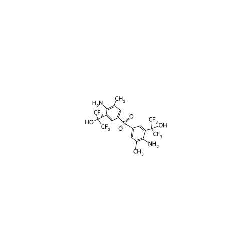 Cc1cc(S(=O)(=O)c2cc(C)c(N)c(C(O)(C(F)(F)F)C(F)(F)F)c2)cc(C(O)(C(F)(F)F)C(F)(F)F)c1N